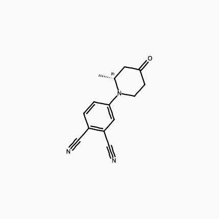 C[C@@H]1CC(=O)CCN1c1ccc(C#N)c(C#N)c1